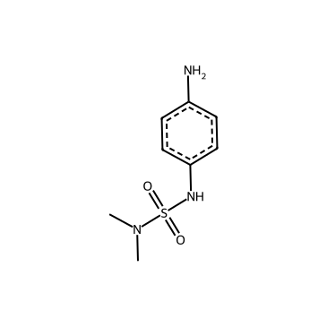 CN(C)S(=O)(=O)Nc1ccc(N)cc1